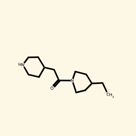 CCC1CCN(C(=O)CC2CCNCC2)CC1